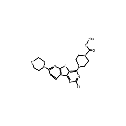 CC(C)(C)OC(=O)N1CCN(c2nc(Cl)nc3c2sc2nc(N4CCOCC4)ccc23)CC1